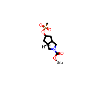 CC(C)(C)OC(=O)N1CC2CC(OS(C)(=O)=O)C[C@H]2C1